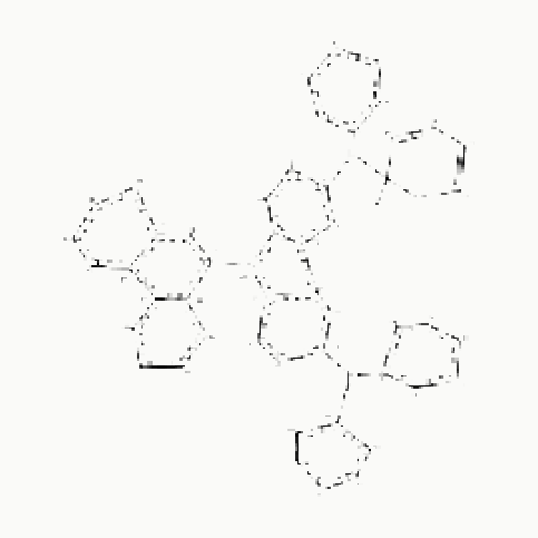 CC1(N(c2ccccc2)c2ccc3c(c2)c2cc(N(c4ccccc4)c4ccccc4)ccc2n3-c2cc3ccccc3c3ccccc23)C=CC=CC1